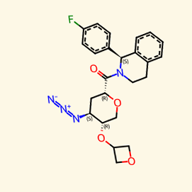 [N-]=[N+]=N[C@H]1C[C@H](C(=O)N2CCc3ccccc3[C@@H]2c2ccc(F)cc2)OC[C@@H]1OC1COC1